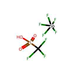 O=S(=O)(O)C(F)(F)F.[F][Sb]([F])([F])([F])[F]